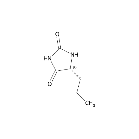 CCC[C@H]1NC(=O)NC1=O